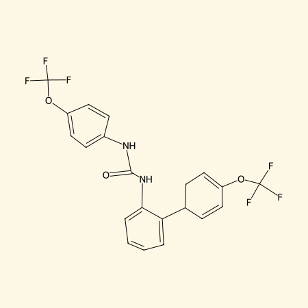 O=C(Nc1ccc(OC(F)(F)F)cc1)Nc1ccccc1C1C=CC(OC(F)(F)F)=CC1